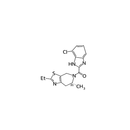 CCc1nc2c(s1)CN(C(=O)c1nc3cccc(Cl)c3[nH]1)[C@H](C)C2